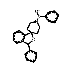 [O-][S+](c1ccccc1)N1CCC2(CC1)OC(c1ccccc1)c1ccccc12